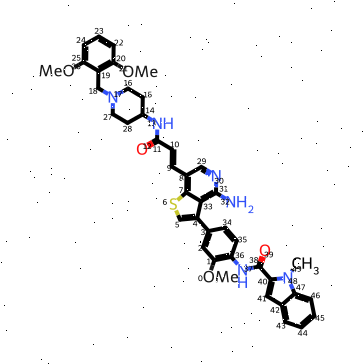 COc1cc(-c2csc3c(/C=C/C(=O)NC4CCN(Cc5c(OC)cccc5OC)CC4)cnc(N)c23)ccc1NC(=O)c1cc2ccccc2n1C